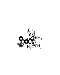 COCCn1c(=O)c2c(nc(C(C)C)n2Cc2ccc(-c3ccccc3-c3nnn[nH]3)cc2)n(C)c1=O